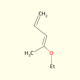 C=C/C=C(\C)OCC